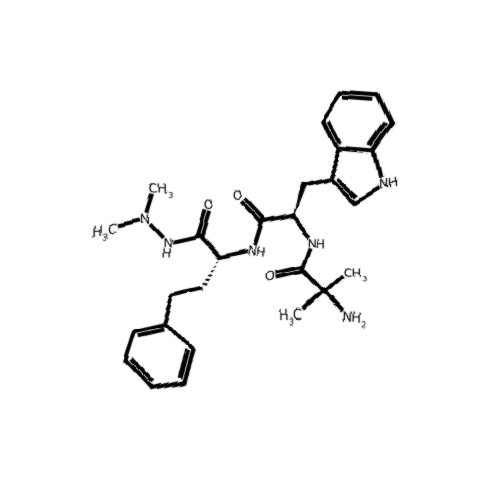 CN(C)NC(=O)[C@@H](CCc1ccccc1)NC(=O)[C@@H](Cc1c[nH]c2ccccc12)NC(=O)C(C)(C)N